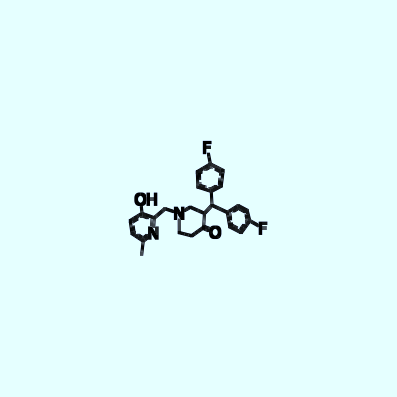 Cc1ccc(O)c(CN2CCC(=O)C(C(c3ccc(F)cc3)c3ccc(F)cc3)C2)n1